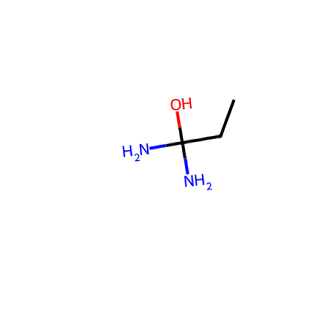 CCC(N)(N)O